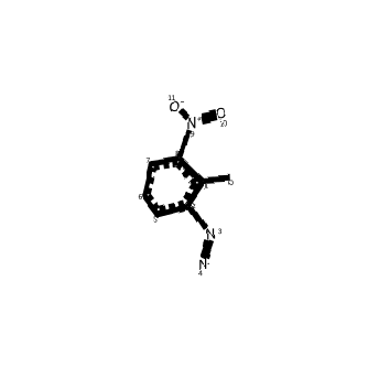 Cc1c(N=[N])cccc1[N+](=O)[O-]